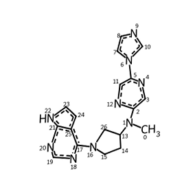 CN(c1cnc(-n2ccnc2)cn1)C1CCN(c2ncnc3[nH]ccc23)C1